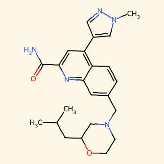 CC(C)CC1CN(Cc2ccc3c(-c4cnn(C)c4)cc(C(N)=O)nc3c2)CCO1